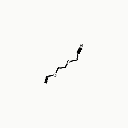 C=COCCOCC#N